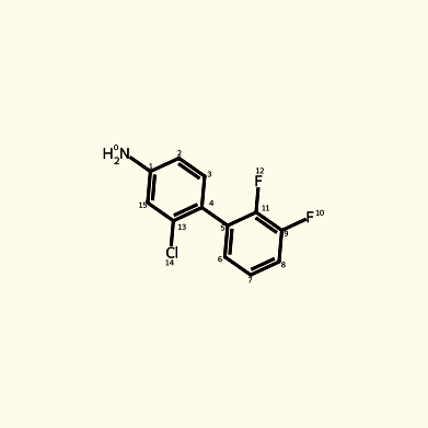 Nc1ccc(-c2cccc(F)c2F)c(Cl)c1